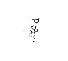 COCCCN=C1CCc2c(Oc3cc(F)cc(C#N)c3)ccc(S(C)(=O)=NC#N)c21